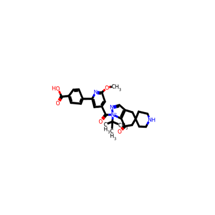 COc1cc(C(=O)[N+]2(C(C)(C)C)N=CC3=C2C(=O)CC2(CCNCC2)C3)cc(-c2ccc(C(=O)O)cc2)n1